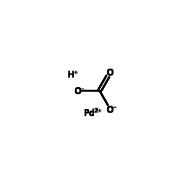 O=C([O-])[O-].[H+].[Pd+2]